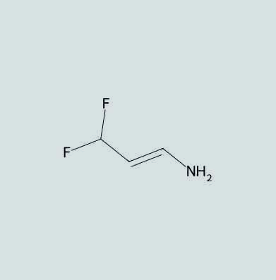 NC=CC(F)F